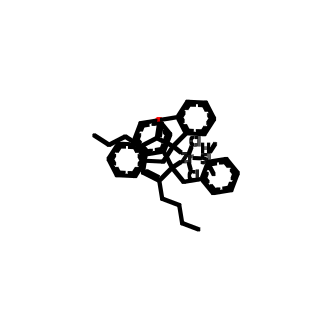 CCCCC1=Cc2ccccc2[C]1(Cc1ccccc1)[Zr]([Cl])([Cl])([SiH](C)C)[C]1(Cc2ccccc2)C(CCCC)=Cc2ccccc21